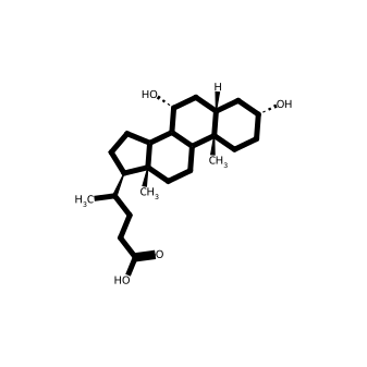 CC(CCC(=O)O)[C@H]1CCC2C3C(CC[C@@]21C)[C@@]1(C)CC[C@@H](O)C[C@H]1C[C@H]3O